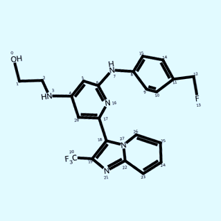 OCCNc1cc(Nc2ccc(CF)cc2)nc(-c2c(C(F)(F)F)nc3ccccn23)c1